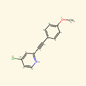 COc1ccc(C#Cc2cc(Cl)ccn2)cc1